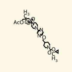 CC(=O)OCC(C)(C)CS(=O)(=O)N1CCN(c2cnc(OCC3CCN(C(=O)OC4(C)CC4)CC3)cn2)CC1